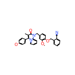 COc1cc(Cn2c(=O)c(C)c(-c3ccc([O-])cc3)[n+]3ccccc23)ccc1OCc1ccccc1C#N